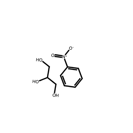 O=[N+]([O-])c1ccccc1.OCC(O)CO